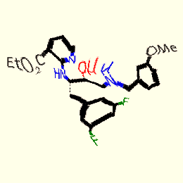 CCOC(=O)c1cccnc1N[C@@H](Cc1cc(F)cc(F)c1)[C@H](O)CNCc1cccc(OC)c1